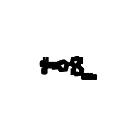 COc1cnc2c(-c3ccc(CN[SH](=O)=O)cc3)ccnc2c1